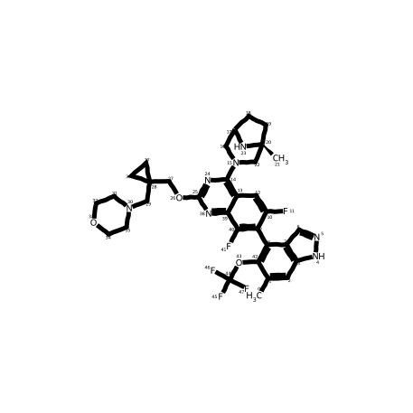 Cc1cc2[nH]ncc2c(-c2c(F)cc3c(N4CC5CC[C@](C)(C4)N5)nc(OCC4(CN5CCOCC5)CC4)nc3c2F)c1OC(F)(F)F